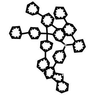 c1ccc(-c2ccc(-c3ccccc3N(c3ccc(-c4cccc5c4sc4ccccc45)cc3)c3ccc4c(c3)C(c3ccc(-c5ccccc5)cc3)(c3ccc(-c5ccccc5)cc3)c3cc(-c5ccccc5)ccc3-4)cc2)cc1